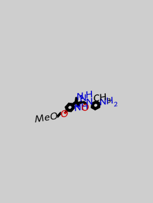 COCCOc1ccc2c(c1)[nH]c1c(C(=O)Nc3cccc(N)c3C)nncc12